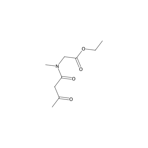 CCOC(=O)CN(C)C(=O)CC(C)=O